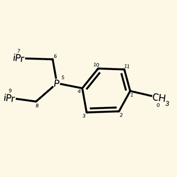 Cc1ccc(P(CC(C)C)CC(C)C)cc1